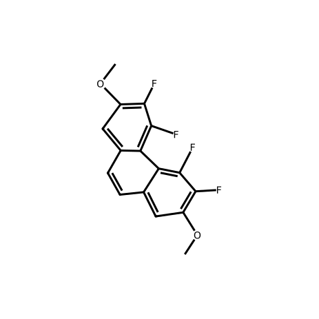 COc1cc2ccc3cc(OC)c(F)c(F)c3c2c(F)c1F